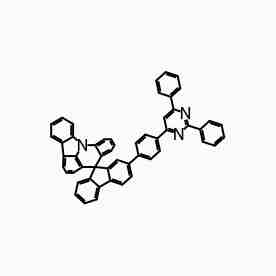 c1ccc(-c2cc(-c3ccc(-c4ccc5c(c4)C4(c6ccccc6-5)c5ccccc5-n5c6ccccc6c6cccc4c65)cc3)nc(-c3ccccc3)n2)cc1